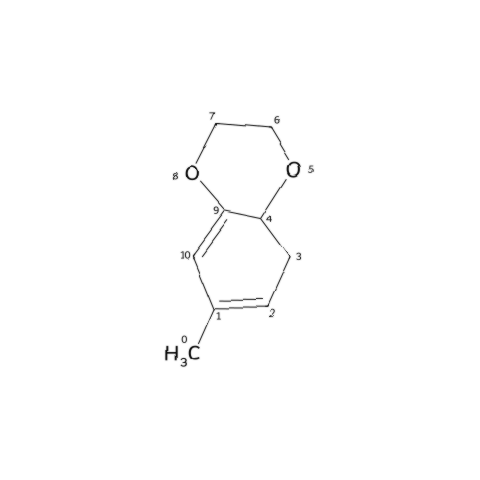 CC1=CCC2OCCOC2=C1